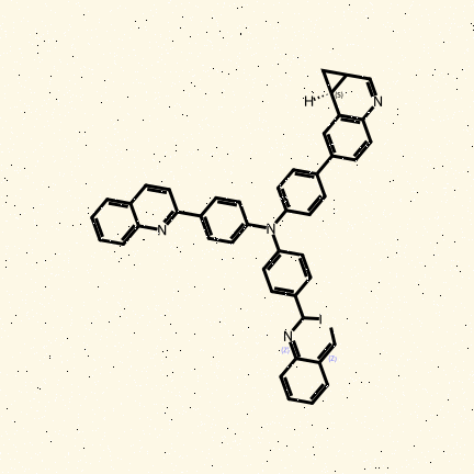 C/C=C1/C=CC=C/C1=N/C(I)c1ccc(N(c2ccc(-c3ccc4c(c3)[C@H]3CC3C=N4)cc2)c2ccc(-c3ccc4ccccc4n3)cc2)cc1